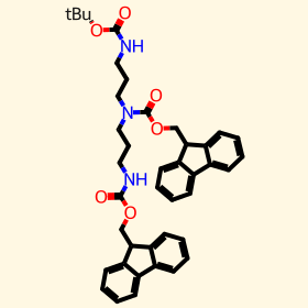 CC(C)(C)OC(=O)NCCCN(CCCNC(=O)OCC1c2ccccc2-c2ccccc21)C(=O)OCC1c2ccccc2-c2ccccc21